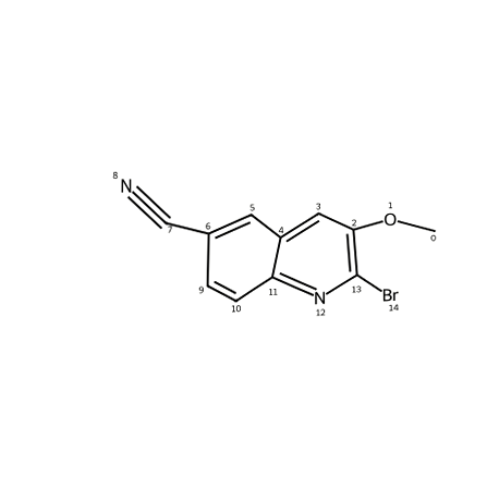 COc1cc2cc(C#N)ccc2nc1Br